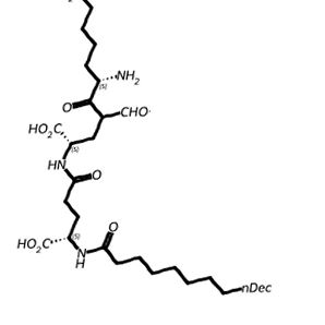 CCCCCCCCCCCCCCCCCC(=O)N[C@@H](CCC(=O)N[C@@H](CC([C]=O)C(=O)[C@@H](N)CCCCN)C(=O)O)C(=O)O